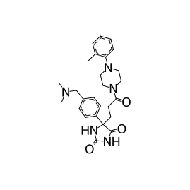 Cc1ccccc1N1CCN(C(=O)CCC2(c3ccc(CN(C)C)cc3)NC(=O)NC2=O)CC1